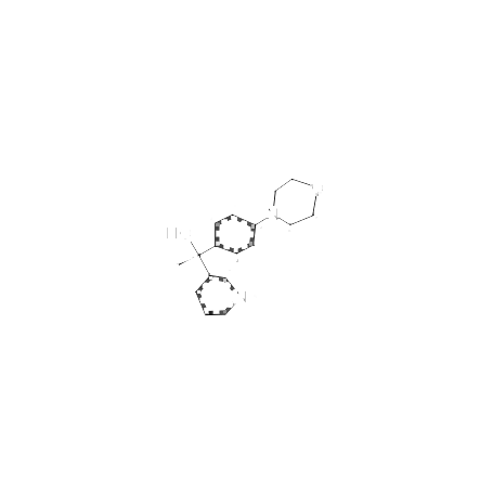 C[C@@](O)(c1ccc(N2CCOCC2)cc1)c1cccnc1